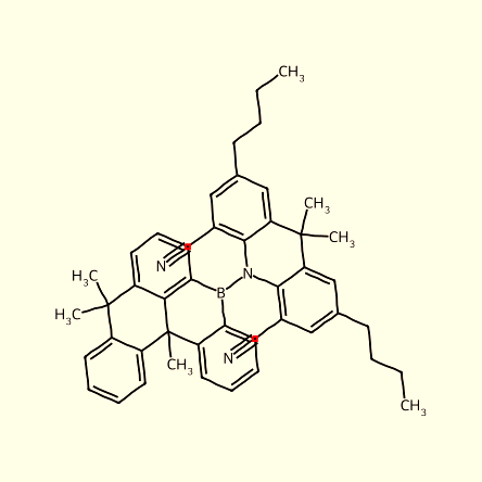 CCCCc1cc(C#N)c2c(c1)C(C)(C)c1cc(CCCC)cc(C#N)c1N2B1c2ccccc2C2(C)c3ccccc3C(C)(C)c3cccc1c32